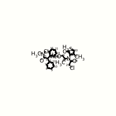 CN(C)C(=O)C(c1ccccc1)c1ccccc1.COC[C@H](C)N(C(=O)CCl)c1c(C)csc1C